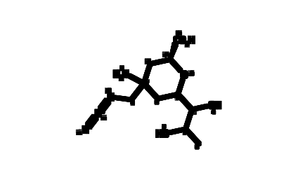 CC(O)C(O)C1CC(N)(CN=[N+]=[N-])C[C@@H](C(=O)O)O1